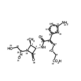 C[C@H]1[C@H](NC(=O)C(=NOCC(=O)O)c2csc(N)n2)C(=O)N1[PH](=O)CO